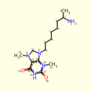 CC(N)CCCCCCN1CN(C)c2c1n(C)c(=O)[nH]c2=O